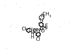 CN1CCCN(c2ccc(C(=O)Nc3ccc(Cl)cc3C(=O)Nc3ccc(Cl)cn3)c(C(F)(F)F)c2)CC1